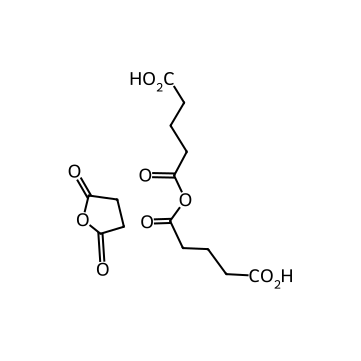 O=C(O)CCCC(=O)OC(=O)CCCC(=O)O.O=C1CCC(=O)O1